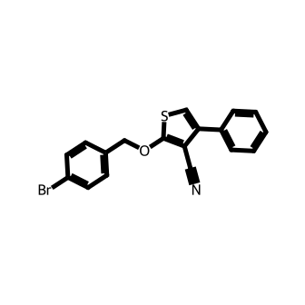 N#Cc1c(-c2ccccc2)csc1OCc1ccc(Br)cc1